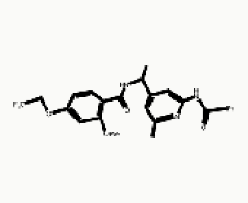 COc1cc(OCC(F)(F)F)ccc1C(=O)NC(C)c1cc(C)nc(NC(=O)C(C)C)c1